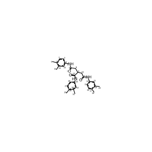 Cc1ccc(NC(=O)CC(CC(=O)Nc2ccc(C)c(C)c2)C(=O)Nc2ccc(C)c(C)c2)cc1C